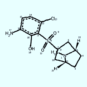 CN1[C@@H]2CC[C@H]1CC(S(=O)(=O)c1c(Cl)ccc(N)c1O)C2